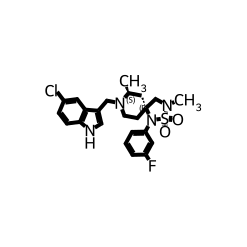 C[C@H]1C[C@]2(CCN1Cc1c[nH]c3ccc(Cl)cc13)CN(C)S(=O)(=O)N2c1cccc(F)c1